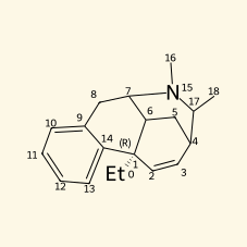 CC[C@@]12C=CC3CC1C(Cc1ccccc12)N(C)C3C